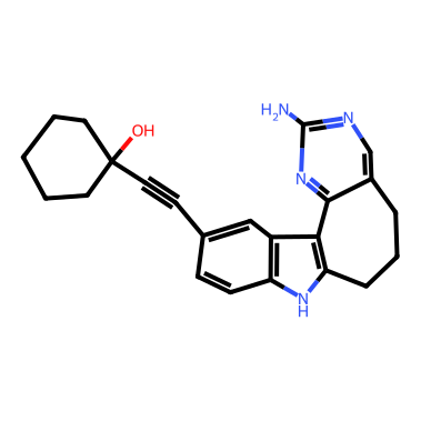 Nc1ncc2c(n1)-c1c([nH]c3ccc(C#CC4(O)CCCCC4)cc13)CCC2